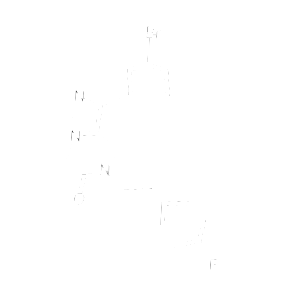 O=C1Cn2cnc(-c3cccc(Br)c3)c2CN1CCc1ccc(F)cc1